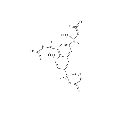 C[C@@](N=S(=O)=O)(C(=O)O)c1ccc2c([C@](C)(N=S(=O)=O)C(=O)O)cc([C@](C)(N=S(=O)=O)C(=O)O)cc2c1